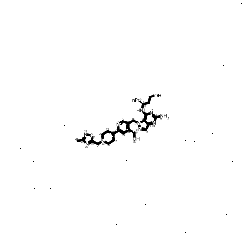 CCC[C@@H](CCO)Nc1nc(N)nc2cnn(Cc3cnc(C4CCN(Cc5nc(C)no5)CC4)cc3CO)c12